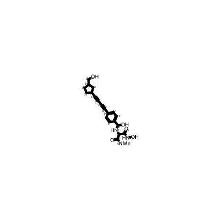 CNC(=O)C(NC(O)c1ccc(C#CC#CC2CCC(CO)C2)cc1)C(=O)NO